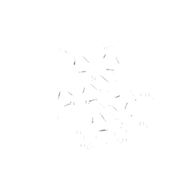 Cc1cccc(-c2cc3c4c(n2)N(c2ccc5c(c2)C(C)(C)CCC5(C)C)c2cc5c(cc2B4c2sc4ccc(C(C)(C)C)cc4c2N3c2ccc(C(C)(C)C)cc2)C(C)(C)CCC5(C)C)n1